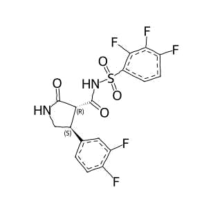 O=C1NC[C@H](c2ccc(F)c(F)c2)[C@H]1C(=O)NS(=O)(=O)c1ccc(F)c(F)c1F